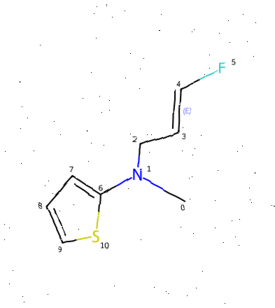 CN(C/C=C/F)c1cccs1